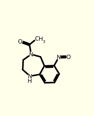 CC(=O)N1CCNc2cccc(N=O)c2C1